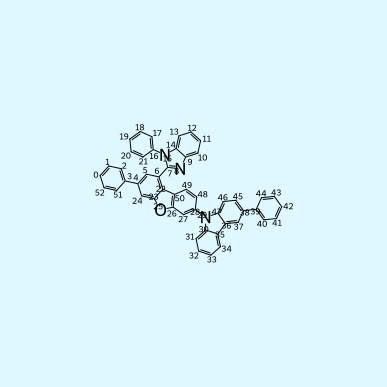 c1ccc(-c2cc(-c3nc4ccccc4n3-c3ccccc3)c3c(c2)oc2cc(-n4c5ccccc5c5cc(-c6ccccc6)ccc54)ccc23)cc1